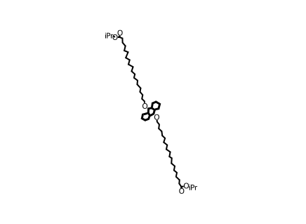 CC(C)OC(=O)CCCCCCCCCCCCCCCCCCCOc1c2ccccc2c(OCCCCCCCCCCCCCCCCCCCC(=O)OC(C)C)c2ccccc12